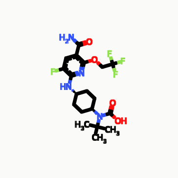 CC(C)(C)N(C(=O)O)[C@H]1CC[C@H](Nc2nc(OCC(F)(F)F)c(C(N)=O)cc2F)CC1